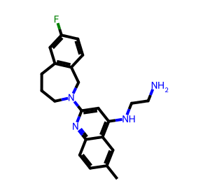 Cc1ccc2nc(N3CCCc4cc(F)ccc4C3)cc(NCCN)c2c1